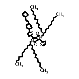 CCCCCCCCCCCCC(CCCCCCCCCC)CN1C(=O)C2=C(c3ccc(-c4ccc(C=Cc5ccccc5)cc4)s3)N(CC(CCCCCCCCCC)CCCCCCCCCCCC)C(=O)C2=C1c1cccs1